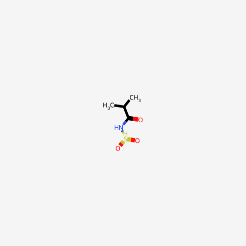 CC(C)C(=O)N[SH](=O)=O